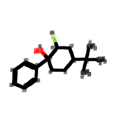 CC(C)(C)C1CCC(O)(c2ccccc2)C(F)C1